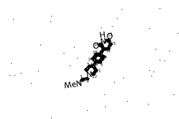 CNCCN1CCC(c2ccc(C3CCC(=O)NC3=O)cc2)CC1